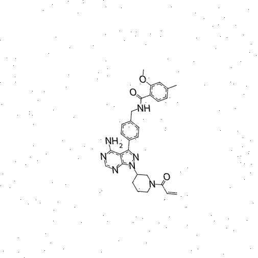 C=CC(=O)N1CCCC(n2nc(-c3ccc(CNC(=O)c4ccc(C)cc4OC)cc3)c3c(N)ncnc32)C1